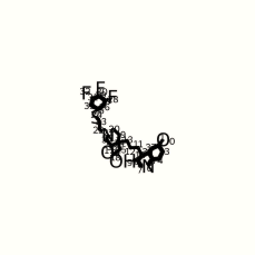 COc1ccc2ncc(C)c(CCCC3(CC(=O)O)CCN(CCSc4cc(F)c(F)c(F)c4)CC3)c2c1